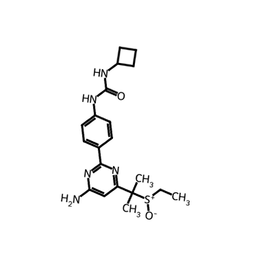 CC[S+]([O-])C(C)(C)c1cc(N)nc(-c2ccc(NC(=O)NC3CCC3)cc2)n1